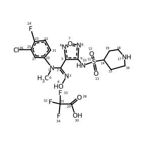 CN(C(=NO)c1nonc1NS(=O)(=O)C1CCNCC1)c1ccc(F)c(Cl)c1.O=C(O)C(F)(F)F